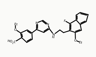 CCOc1cc(-c2cc(NCCc3c(OCC)cc4ccccc4c3F)ncn2)ccc1C(=O)O